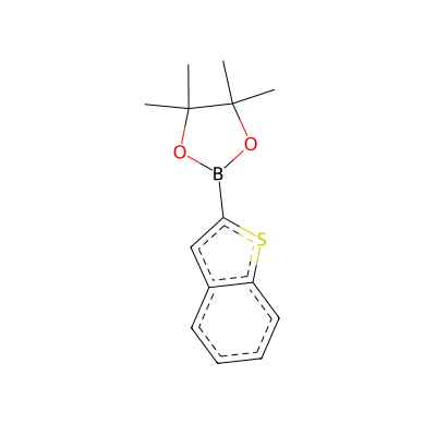 CC1(C)OB(c2cc3ccccc3s2)OC1(C)C